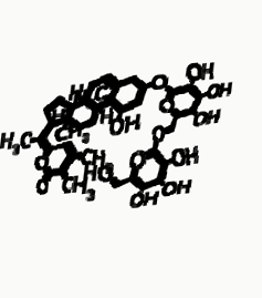 CC1=C(C)C(=O)O[C@@H]([C@@H](C)[C@H]2CC[C@H]3[C@@H]4CC=C5C[C@@H](O[C@@H]6O[C@H](CO[C@@H]7O[C@H](CO)[C@@H](O)[C@H](O)[C@H]7O)[C@@H](O)[C@H](O)[C@H]6O)C[C@H](O)[C@]5(C)[C@H]4CC[C@]23C)C1